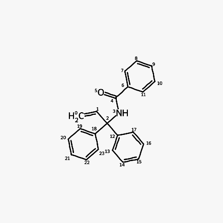 C=CC(NC(=O)c1ccccc1)(c1ccccc1)c1ccccc1